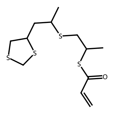 C=CC(=O)SC(C)CSC(C)CC1CSCS1